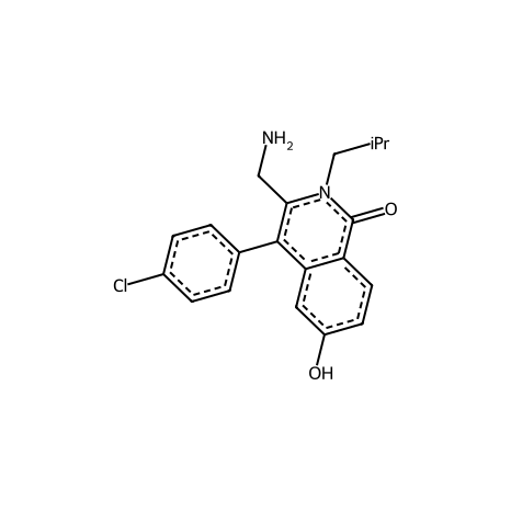 CC(C)Cn1c(CN)c(-c2ccc(Cl)cc2)c2cc(O)ccc2c1=O